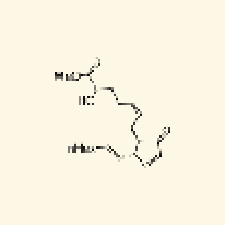 CCCCCCC=C[C@H]1C=CC(=O)[C@@H]1C/C=C\CCC(O)C(=O)OC